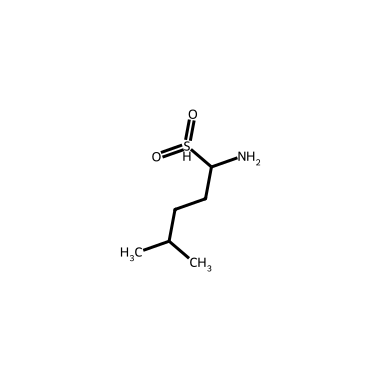 CC(C)CCC(N)[SH](=O)=O